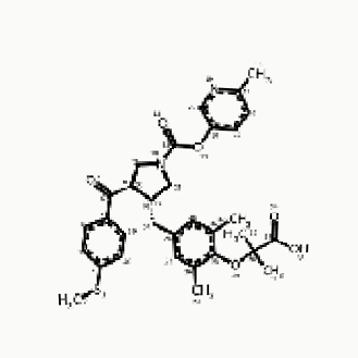 CSc1ccc(C(=O)[C@H]2CN(C(=O)Oc3ccc(C)nc3)C[C@@H]2Cc2cc(C)c(OC(C)(C)C(=O)O)c(C)c2)cc1